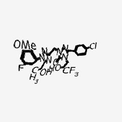 COc1ccc(F)cc1-n1nc(Cn2nc(-c3ccc(Cl)cc3)n(C[C@H](O)C(F)(F)F)c2=O)nc1C(C)O